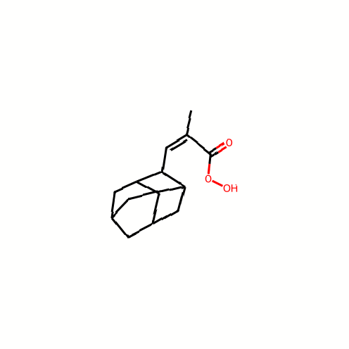 CC(=CC1C2CC3CC(C2)CC1C3)C(=O)OO